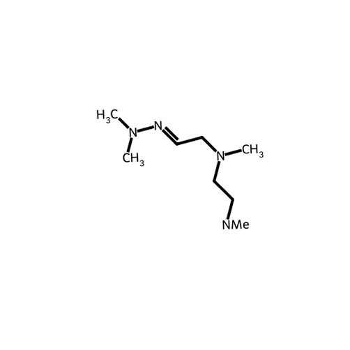 CNCCN(C)C/C=N/N(C)C